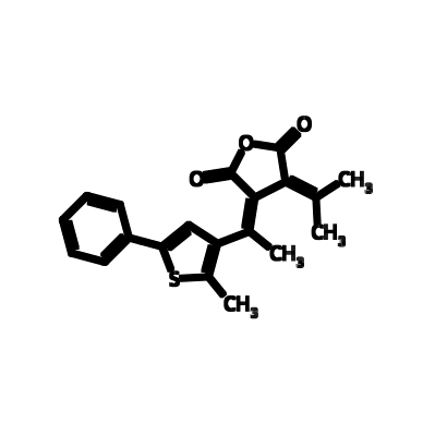 CC(C)=C1C(=O)OC(=O)C1=C(C)c1cc(-c2ccccc2)sc1C